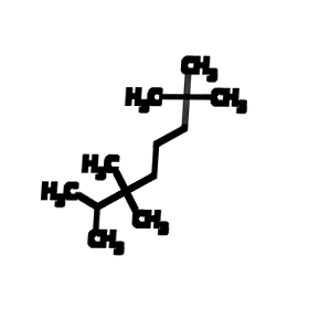 CC(C)C(C)(C)CCCC(C)(C)C